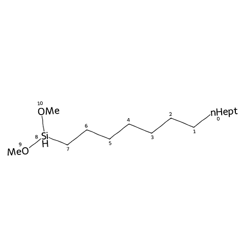 CCCCCCCCCCCCCC[SiH](OC)OC